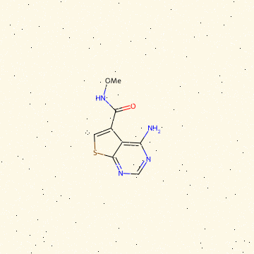 CONC(=O)c1csc2ncnc(N)c12